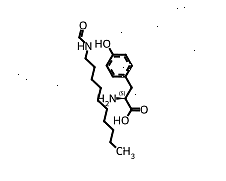 CCCCCCCCCCNC=O.N[C@@H](Cc1ccc(O)cc1)C(=O)O